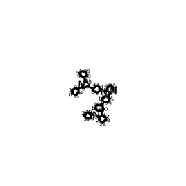 c1ccc(-c2cc(-c3ccc(-n4c5cc(-c6ccc7c(c6)c6ccccc6n7-c6ccccc6)ccc5c5ncccc54)cc3)nc(-c3ccccc3)n2)cc1